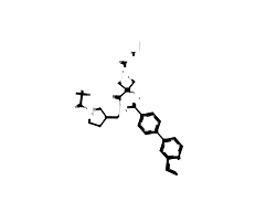 COC(=O)N1CC2(C1)N=C(c1ccc(-c3ccc4occc4c3)cc1)N(CC1CCN(C(=O)C(F)(F)F)C1)C2=O